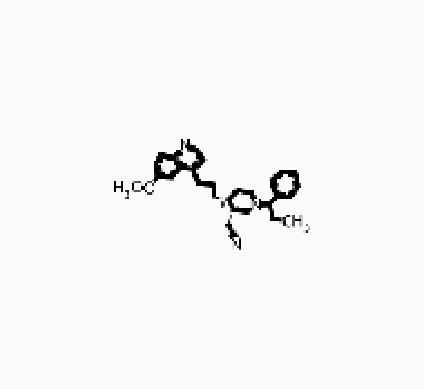 CCC(c1ccccc1)N1CC[C@@H](CCCc2ccnc3ccc(OC)cc23)[C@@H](CC#N)C1